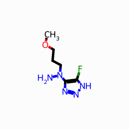 COCCCN(N)c1nn[nH]c1F